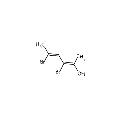 CC(Br)=C/C(Br)=C(\C)O